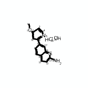 COc1ccnc(-c2ccc3ccc(N)nc3c2)c1.Cl.Cl